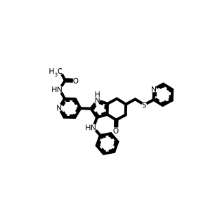 CC(=O)Nc1cc(-c2[nH]c3c(c2Nc2ccccc2)C(=O)CC(CSc2ccccn2)C3)ccn1